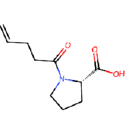 C=CCCC(=O)N1CCC[C@H]1C(=O)O